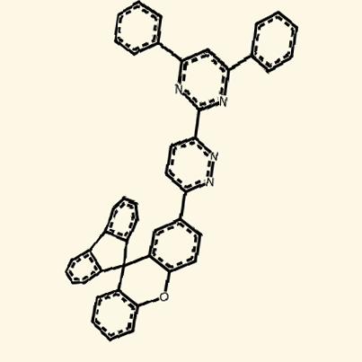 c1ccc(-c2cc(-c3ccccc3)nc(-c3ccc(-c4ccc5c(c4)C4(c6ccccc6O5)c5ccccc5-c5ccccc54)nn3)n2)cc1